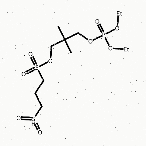 CCOP(=O)(OCC)OCC(C)(C)COS(=O)(=O)CCC[SH](=O)=O